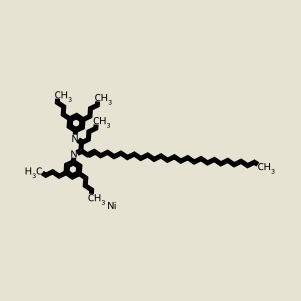 CCCCCCCCCCCCCCCCCCCCCCCCC/C=C/C(=N\c1cc(CCCC)cc(CCCC)c1)C(/CCCC)=N/c1cc(CCCC)cc(CCCC)c1.[Ni]